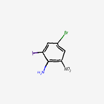 Nc1c(I)cc(Br)cc1[N+](=O)[O-]